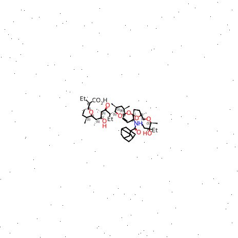 CCC(C(=O)[C@@H](C)[C@@H](O)[C@H](C)[C@@H]1O[C@@H]([C@@H](CC)C(=O)O)CC[C@@H]1C)[C@H]1O[C@]2(C=C[C@@H](NC(=O)C34CC5CC(CC(C5)C3)C4)[C@]3(CC[C@@](C)([C@H]4CC[C@](O)(CC)[C@H](C)O4)O3)O2)[C@H](C)C[C@@H]1C